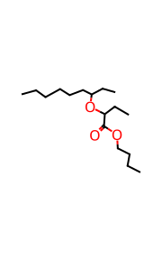 CCCCCCC(CC)OC(CC)C(=O)OCCCC